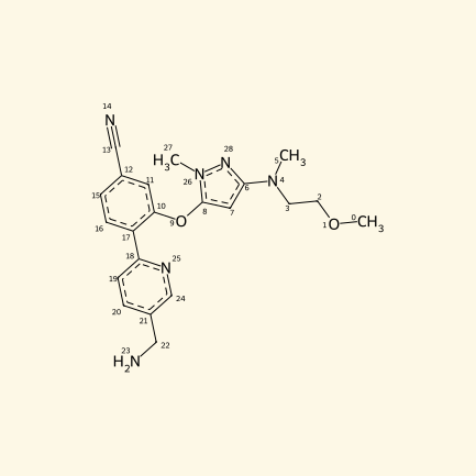 COCCN(C)c1cc(Oc2cc(C#N)ccc2-c2ccc(CN)cn2)n(C)n1